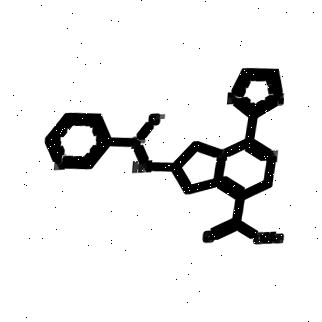 COC(=O)C1=C2CC(N[S+]([O-])c3cccnc3)CN2C(c2nccs2)=NC1